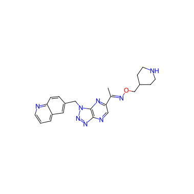 C/C(=N\OCC1CCNCC1)c1cnc2nnn(Cc3ccc4ncccc4c3)c2n1